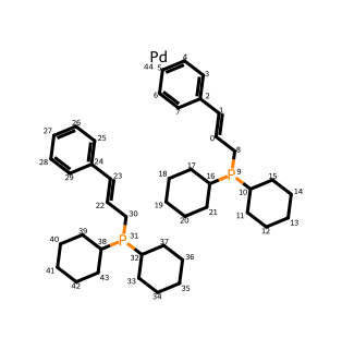 C(=Cc1ccccc1)CP(C1CCCCC1)C1CCCCC1.C(=Cc1ccccc1)CP(C1CCCCC1)C1CCCCC1.[Pd]